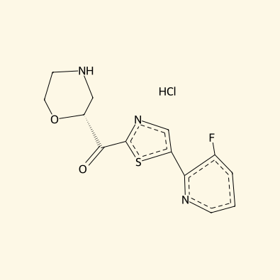 Cl.O=C(c1ncc(-c2ncccc2F)s1)[C@H]1CNCCO1